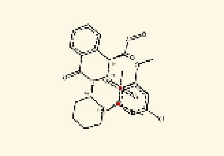 COc1cc(Cl)cc(Cl)c1[C@H]1[C@H](C(=O)N=O)c2ccccc2C(=O)N1[C@@H]1CCCC[C@H]1N(N)S(C)(=O)=O